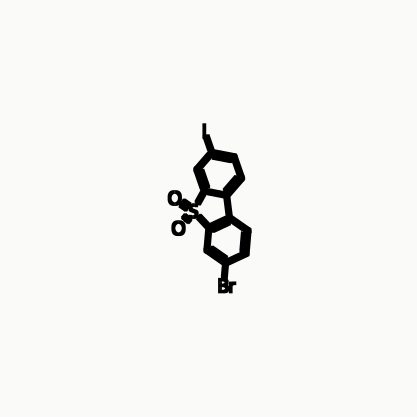 O=S1(=O)c2cc(Br)ccc2-c2ccc(I)cc21